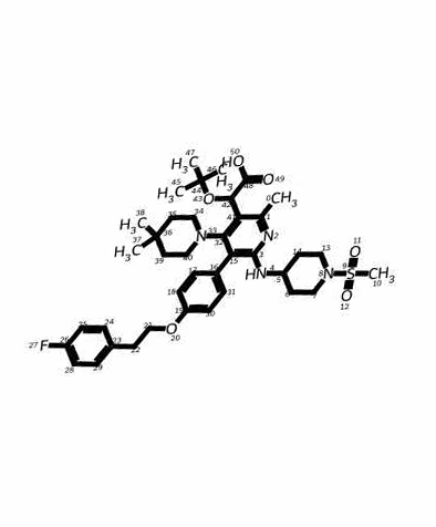 Cc1nc(NC2CCN(S(C)(=O)=O)CC2)c(-c2ccc(OCCc3ccc(F)cc3)cc2)c(N2CCC(C)(C)CC2)c1C(OC(C)(C)C)C(=O)O